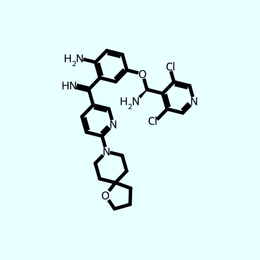 N=C(c1ccc(N2CCC3(CCCO3)CC2)nc1)c1cc(O[C@H](N)c2c(Cl)cncc2Cl)ccc1N